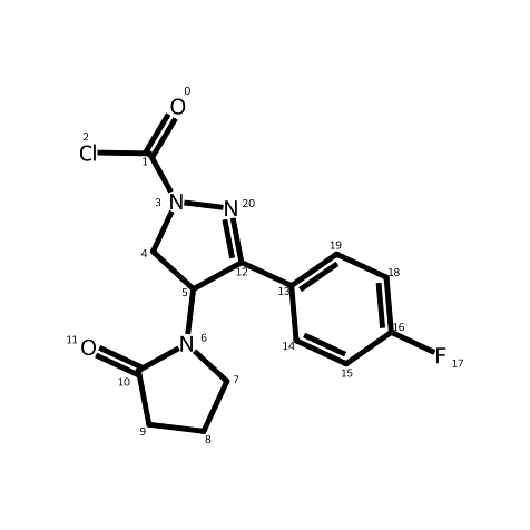 O=C(Cl)N1CC(N2CCCC2=O)C(c2ccc(F)cc2)=N1